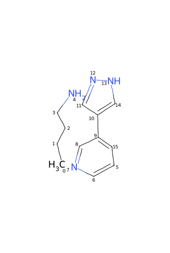 CCCCN.c1cncc(-c2cn[nH]c2)c1